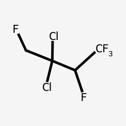 FCC(Cl)(Cl)C(F)C(F)(F)F